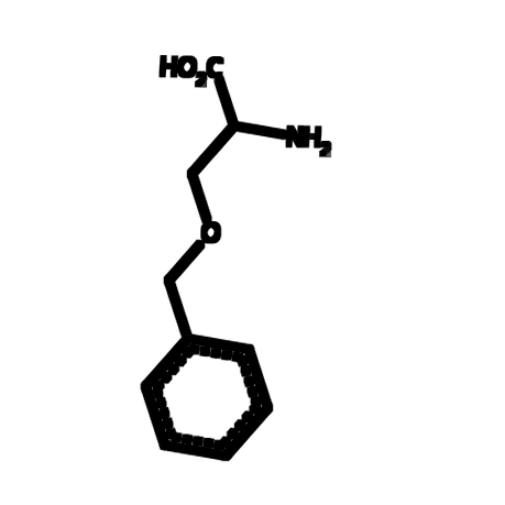 NC(COCc1ccccc1)C(=O)O